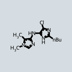 CCCCc1nc(Cl)c(Nc2ncn(C)c2C)[nH]1